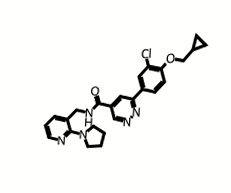 O=C(NCc1cccnc1N1CCCC1)c1cnnc(-c2ccc(OCC3CC3)c(Cl)c2)c1